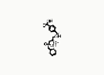 C[C@H](NC[C@H](O)CP(=O)(O)CC1CC=CCC1)c1ccc(C(=O)O)cc1